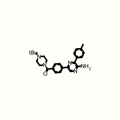 Cc1ccc(-c2nc(-c3ccc(C(=O)N4CCN(C(C)(C)C)CC4)cc3)cnc2N)cc1